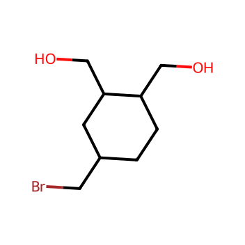 OCC1CCC(CBr)CC1CO